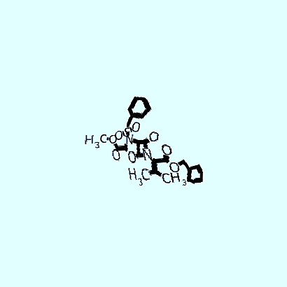 COC(=O)C1OC2C(C(=O)N2C(C(=O)OCc2ccccc2)=C(C)C)N1S(=O)(=O)Cc1ccccc1